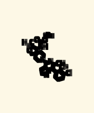 Cc1nc(N2CCC3(CC2)CO[C@@H](C)[C@H]3NC(=O)OC(C)(C)C)c2ccnn2c1-c1cccc(Cl)c1Cl